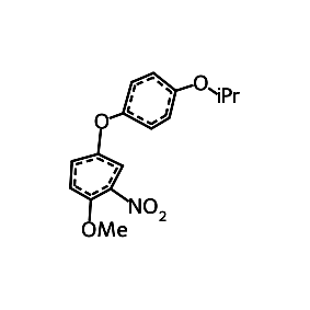 COc1ccc(Oc2ccc(OC(C)C)cc2)cc1[N+](=O)[O-]